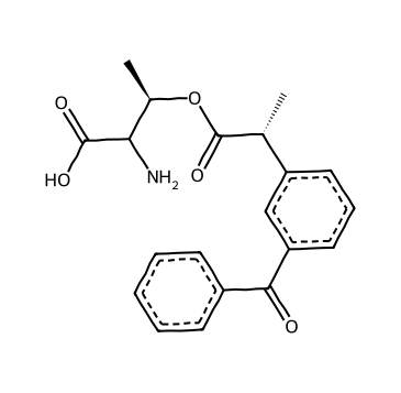 C[C@@H](C(=O)O[C@H](C)C(N)C(=O)O)c1cccc(C(=O)c2ccccc2)c1